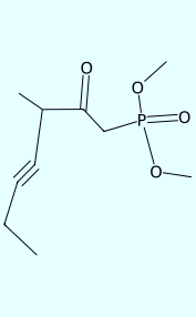 CCC#CC(C)C(=O)CP(=O)(OC)OC